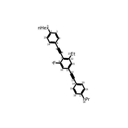 CCCCCCc1ccc(C#Cc2c(F)cc(C#Cc3ccc(CCC)cc3)cc2CC)cc1